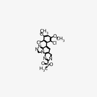 COc1cc(OC)c(Cl)c(-c2cc3cnc(S(C)(=O)=O)nc3n3cnnc23)c1Cl